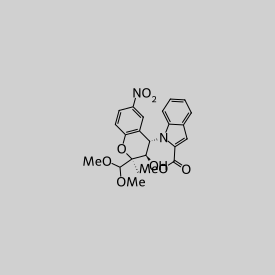 COC(=O)c1cc2ccccc2n1[C@H]1c2cc([N+](=O)[O-])ccc2O[C@](C)(C(OC)OC)[C@@H]1O